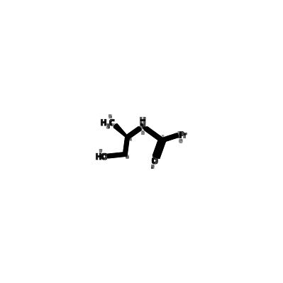 CC(C)C(=O)N[C@H](C)CO